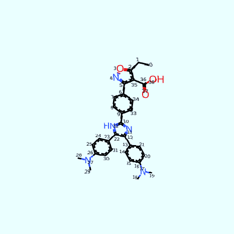 CCc1onc(-c2ccc(-c3nc(-c4ccc(N(C)C)cc4)c(-c4ccc(N(C)C)cc4)[nH]3)cc2)c1C(=O)O